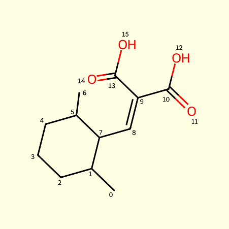 CC1CCCC(C)C1C=C(C(=O)O)C(=O)O